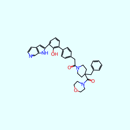 O=C(Cc1ccc(-c2cccc(-c3cc4ccncc4[nH]3)c2O)cc1)N1CCC(Cc2ccccc2)(C(=O)N2CCOCC2)CC1